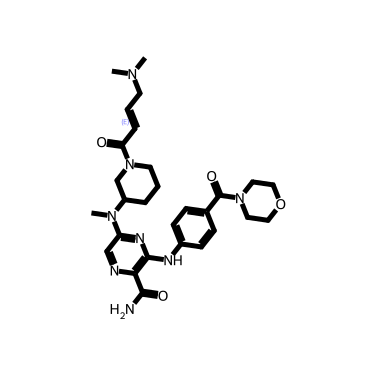 CN(C)C/C=C/C(=O)N1CCCC(N(C)c2cnc(C(N)=O)c(Nc3ccc(C(=O)N4CCOCC4)cc3)n2)C1